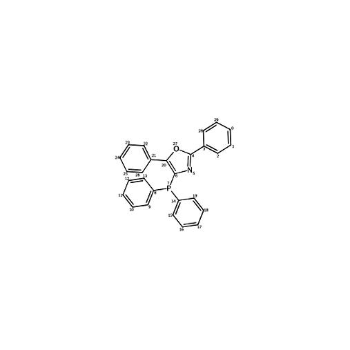 c1ccc(-c2nc(P(c3ccccc3)c3ccccc3)c(-c3ccccc3)o2)cc1